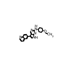 CCO[C@H]1CC[C@@H](Nc2ncc3c(-c4ccc5ncccc5c4)c[nH]c3n2)CC1